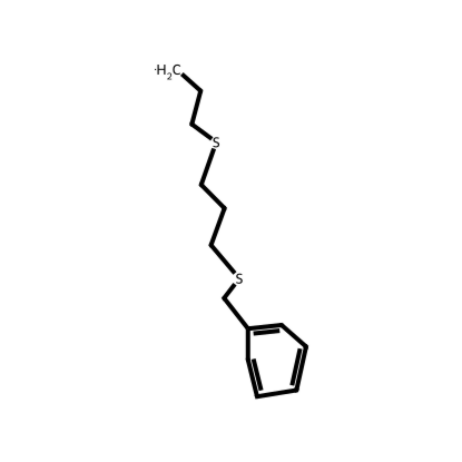 [CH2]CCSCCCSCc1ccccc1